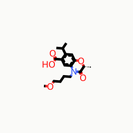 COCCCCN1C(=O)[C@@H](C)Oc2cc(C(C)C)c(C(=O)O)cc21